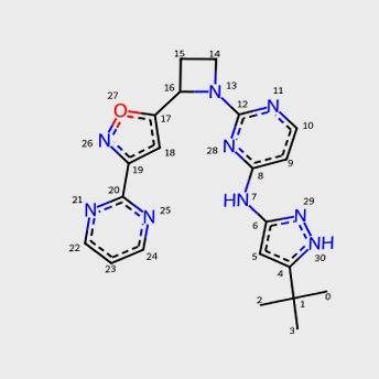 CC(C)(C)c1cc(Nc2ccnc(N3CCC3c3cc(-c4ncccn4)no3)n2)n[nH]1